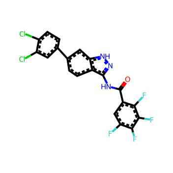 O=C(Nc1n[nH]c2cc(-c3ccc(Cl)c(Cl)c3)ccc12)c1cc(F)c(F)c(F)c1F